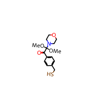 COC(OC)(C(=O)c1ccc(CS)cc1)N1CCOCC1